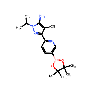 CC(n1nc(-c2ccc(B3OC(C)(C)C(C)(C)O3)cn2)c(C#N)c1N)C(F)(F)F